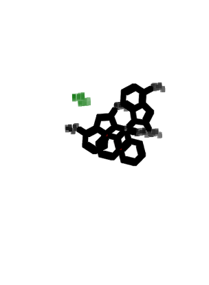 CC1=Cc2c(C)cccc2[CH]1[Ti](=[SiH2])([c]1ccccc1)([c]1ccccc1)[CH]1C(C)=Cc2c(C)cccc21.Cl.Cl